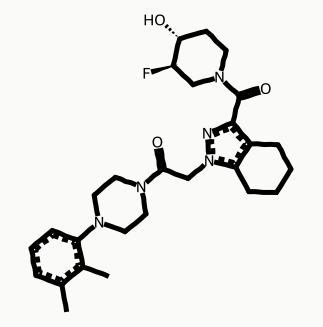 Cc1cccc(N2CCN(C(=O)Cn3nc(C(=O)N4CC[C@@H](O)[C@H](F)C4)c4c3CCCC4)CC2)c1C